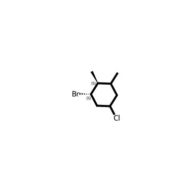 CC1CC(Cl)C[C@H](Br)[C@H]1C